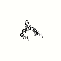 Cc1cccc(-c2ccn(-c3nc(N4CCOCC4)c4sc(CN5CCN(S(C)(=O)=O)CC5)cc4n3)n2)c1